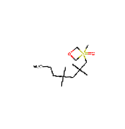 COCCC(C)(C)CC(C)(C)CS1(C)(=O)COC1